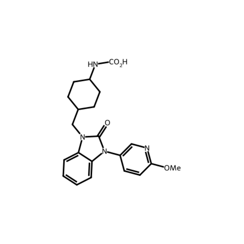 COc1ccc(-n2c(=O)n(CC3CCC(NC(=O)O)CC3)c3ccccc32)cn1